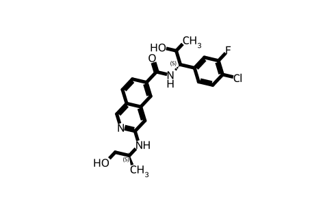 CC(O)[C@@H](NC(=O)c1ccc2cnc(N[C@@H](C)CO)cc2c1)c1ccc(Cl)c(F)c1